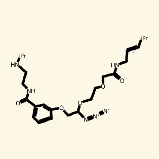 CC(C)/C=C/CNC(=O)COCCOC(COc1cccc(C(=O)NCCNC(C)C)c1)N=[N+]=[N-]